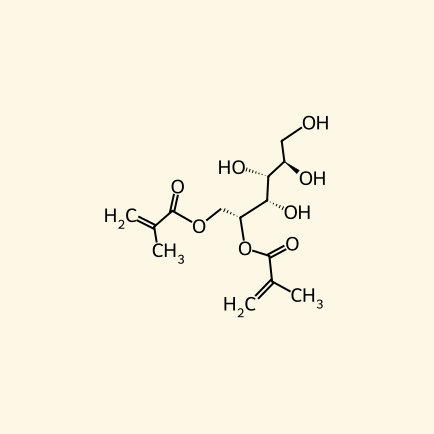 C=C(C)C(=O)OC[C@@H](OC(=O)C(=C)C)[C@@H](O)[C@H](O)[C@H](O)CO